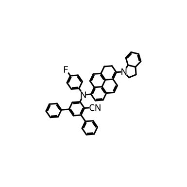 N#Cc1c(-c2ccccc2)cc(-c2ccccc2)cc1N(c1ccc(F)cc1)c1ccc2ccc3c4c(ccc1c24)CCC=3N1CCC2C=CC=CC21